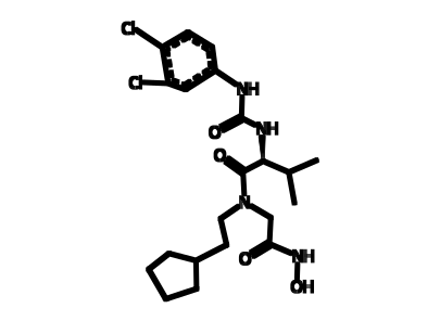 CC(C)[C@H](NC(=O)Nc1ccc(Cl)c(Cl)c1)C(=O)N(CCC1CCCC1)CC(=O)NO